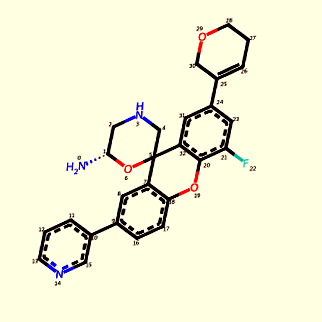 N[C@@H]1CNCC2(O1)c1cc(-c3cccnc3)ccc1Oc1c(F)cc(C3=CCCOC3)cc12